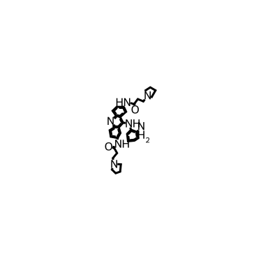 Nc1ccccc1Nc1c2cc(NC(=O)CCN3CCCC3)ccc2nc2ccc(NC(=O)CCN3CCCC3)cc12